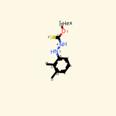 CCCCCCOC(=S)NNc1cccc(C)c1C